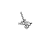 C=C(C)CC([C]=O)NC(=O)C(CO)NC(=O)CCCCCCC